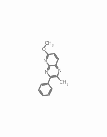 COc1ccc2nc(C)c(-c3ccccc3)nc2n1